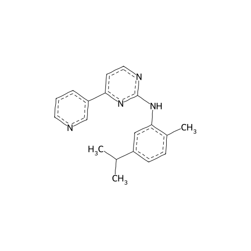 Cc1ccc(C(C)C)cc1Nc1nccc(-c2cccnc2)n1